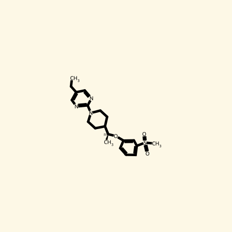 CCc1cnc(N2CCC([C@H](C)Oc3c[c]cc(S(C)(=O)=O)c3)CC2)nc1